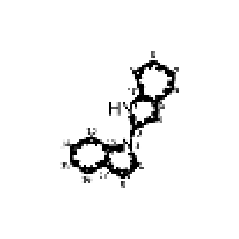 [c]1cn(-c2cc3ccccc3[nH]2)c2ccccc12